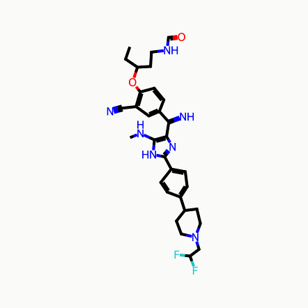 CCC(CCNC=O)Oc1ccc(C(=N)c2nc(-c3ccc(C4CCN(CC(F)F)CC4)cc3)[nH]c2NC)cc1C#N